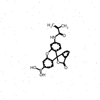 C=C(C)C(=O)Nc1ccc2c(c1)Oc1cc(B(O)O)ccc1C21OC(=O)c2ccccc21